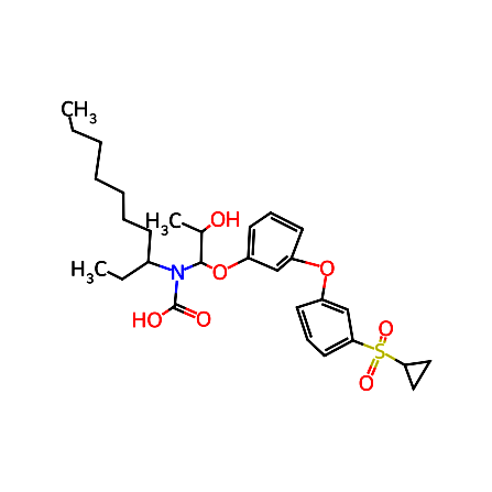 CCCCCCCC(CC)N(C(=O)O)C(Oc1cccc(Oc2cccc(S(=O)(=O)C3CC3)c2)c1)C(C)O